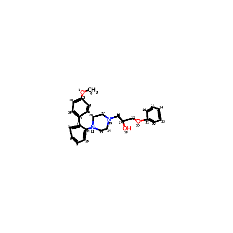 COc1ccc(-c2ccccc2N2CCN(CC(O)COc3ccccc3)CC2)cc1